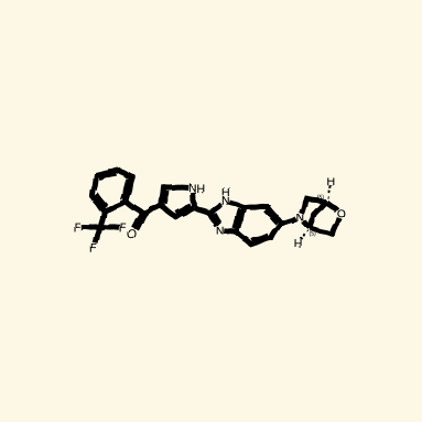 O=C(c1c[nH]c(-c2nc3ccc(N4C[C@@H]5C[C@H]4CO5)cc3[nH]2)c1)c1ccccc1C(F)(F)F